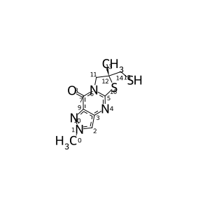 Cn1cc2nc3n(c(=O)c2n1)C[C@](C)(CS)S3